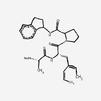 C/C=C\C(=C/C)C[C@H](NC(=O)[C@H](C)NC)C(=O)N1CCCC1C(=O)NC1CCc2ccccc21